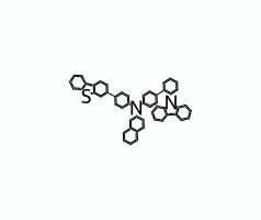 c1ccc(-n2c3ccccc3c3ccccc32)c(-c2ccc(N(c3ccc(-c4ccc5c(c4)sc4ccccc45)cc3)c3ccc4ccccc4c3)cc2)c1